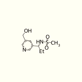 CC[C](NS(C)(=O)=O)c1cncc(CO)c1